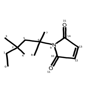 CCC(C)(C)CC(C)(C)N1C(=O)C=CC1=O